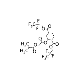 C=C(C)C(=O)OCC(=O)OC1CC(C(=O)OCC(F)(F)C(F)(F)F)CCC1C(=O)OCC(F)(F)C(F)(F)F